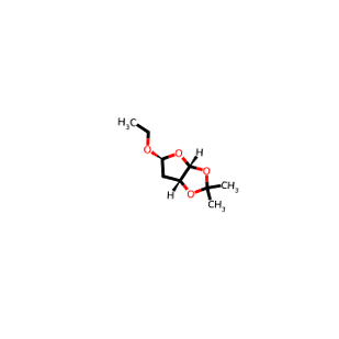 CCO[C@@H]1C[C@H]2OC(C)(C)O[C@H]2O1